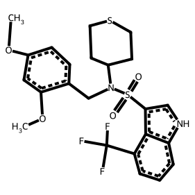 COc1ccc(CN(C2CCSCC2)S(=O)(=O)c2c[nH]c3cccc(C(F)(F)F)c23)c(OC)c1